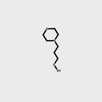 SOCCCN1CCOCC1